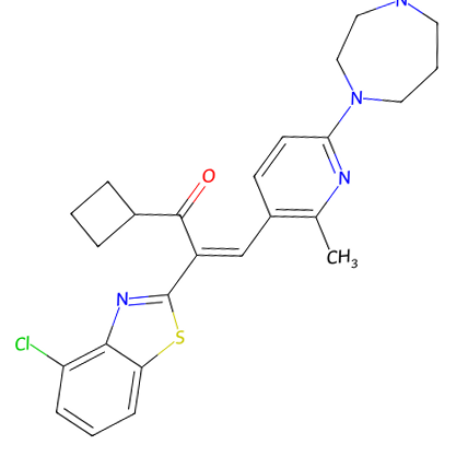 Cc1nc(N2CCCNCC2)ccc1/C=C(\C(=O)C1CCC1)c1nc2c(Cl)cccc2s1